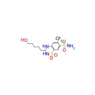 NS(=O)(=O)c1cc2c(cc1C(F)(F)F)NC(CCCCCO)NS2(=O)=O